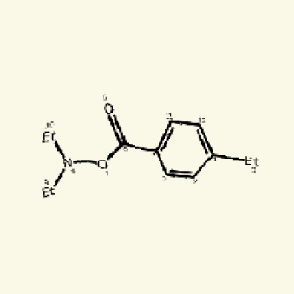 CCc1ccc(C(=O)ON(CC)CC)cc1